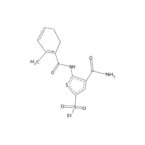 CCS(=O)(=O)c1cc(C(N)=O)c(NC(=O)C2=C(C)C=CCC2)s1